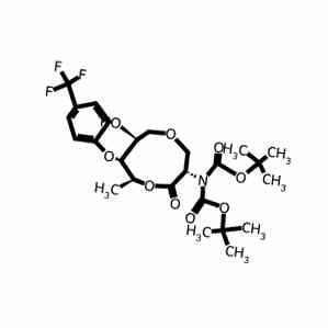 C[C@@H]1OC(=O)[C@@H](N(C(=O)OC(C)(C)C)C(=O)OC(C)(C)C)COC[C@H](O)[C@H]1Oc1ccc(C(F)(F)F)cc1